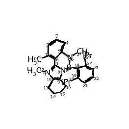 Cc1cccc2c1-c1n(c3c([n+]1C)CCCC3)B(c1c(C(C)C)cccc1C(C)C)N2C